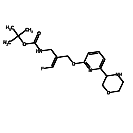 CC(C)(C)OC(=O)NCC(=CF)COc1cccc(C2COCCN2)n1